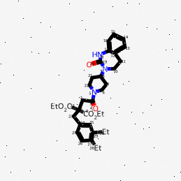 CCOC(=O)C(CC(=O)N1CCC(N2CCc3ccccc3NC2=O)CC1)(Cc1ccc(CC)c(CC)c1)C(=O)OCC